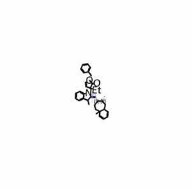 C=CC(CC)(C(=O)OCc1ccccc1)N1/C(=C/[C@H]2CCC3(C)C=CC=CC3C[C@H]2C)C(C)c2ccccc21